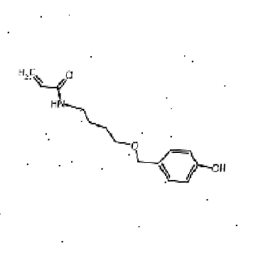 C=CC(=O)NCCCCOCc1ccc(O)cc1